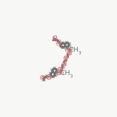 CC(OCCOCCOCCOC(C)Oc1cccc2cc(OCC3CO3)ccc12)Oc1cccc2cc(OCC3CO3)ccc12